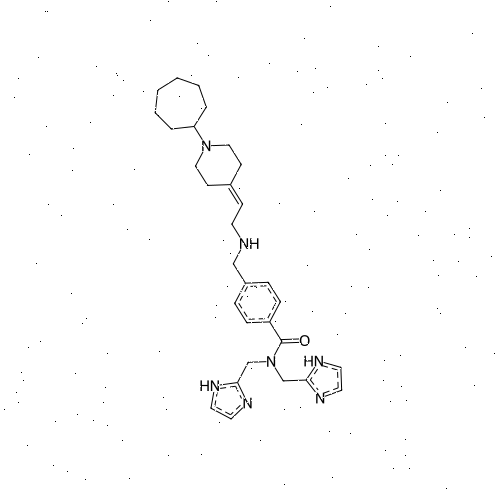 O=C(c1ccc(CNCC=C2CCN(C3CCCCCC3)CC2)cc1)N(Cc1ncc[nH]1)Cc1ncc[nH]1